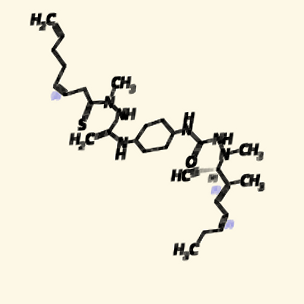 C#C[C@@H](/C(C)=C/C=C\CC)N(C)NC(=O)NC1CCC(NC(=C)NN(C)C(=S)C/C=C\CCC=C)CC1